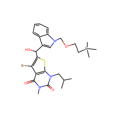 CC(C)Cn1c(=O)n(C)c(=O)c2c(Br)c(C(O)c3cn(COCC[Si](C)(C)C)c4ccccc34)sc21